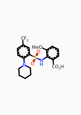 COc1cccc(C(=O)O)c1NS(=O)(=O)c1cc(C(F)(F)F)ccc1N1CCCCC1